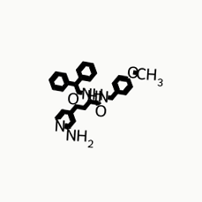 COc1ccc(CNC(=O)C(CCc2ccnc(N)c2)NC(=O)C(c2ccccc2)c2ccccc2)cc1